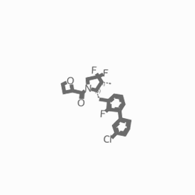 C[C@@H]1[C@H](Cc2cccc(-c3cccc(Cl)c3)c2F)N(C(=O)C2CCO2)CC1(F)F